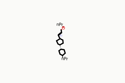 CCCOC/C=C/C1CCC([C@H]2CC[C@H](CCC)CC2)CC1